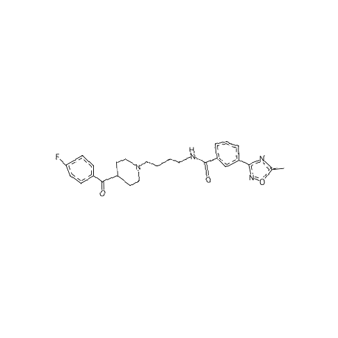 Cc1nc(-c2cccc(C(=O)NCCCCN3CCC(C(=O)c4ccc(F)cc4)CC3)c2)no1